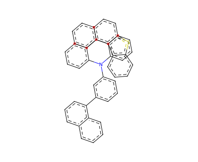 c1ccc(-c2ccccc2N(c2cccc(-c3cccc4ccccc34)c2)c2ccccc2-c2cccc3sc4ccccc4c23)cc1